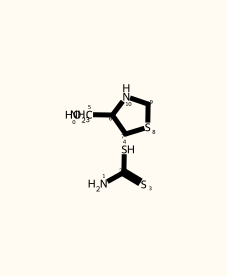 N.NC(=S)S.O=C(O)C1CSCN1